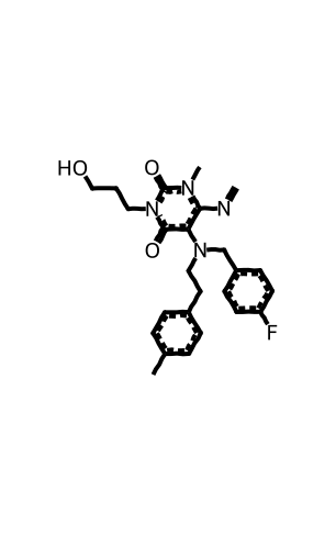 C=Nc1c(N(CCc2ccc(C)cc2)Cc2ccc(F)cc2)c(=O)n(CCCO)c(=O)n1C